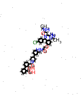 CCNC(=O)C[C@@H]1N=C(c2ccc(Cl)cc2)c2cc(OCC(=O)NCc3cccc(C4CCN(C(=O)c5cccc(-c6ccccc6B(O)O)c5)CC4)c3)ccc2-n2c(C)nnc21